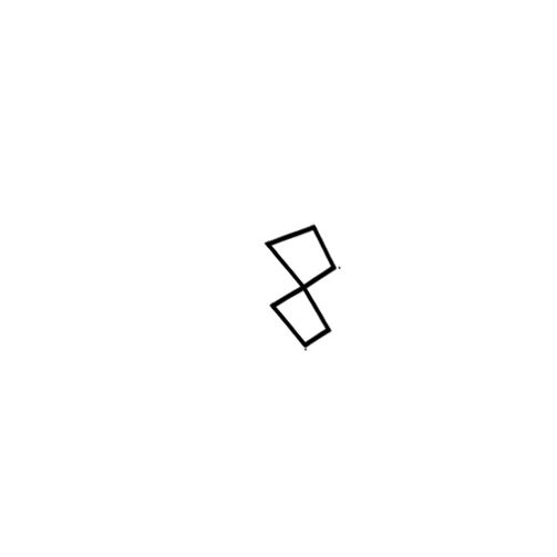 [CH]1CC2([CH]CC2)C1